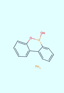 OP1Oc2ccccc2-c2ccccc21.P